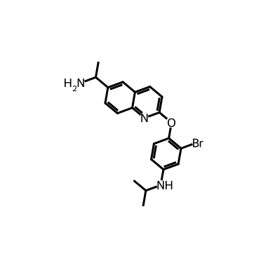 CC(C)Nc1ccc(Oc2ccc3cc(C(C)N)ccc3n2)c(Br)c1